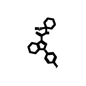 O=C(NC1(C(=O)O)CCCCC1)c1nn(-c2ccc(F)cc2)c2c1CCCC2